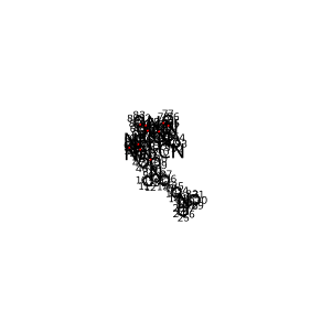 N#Cc1c(-c2ccc(-n3c4ccccc4c4cc(-c5ccc(-n6c7ccccc7c7ccccc76)cc5)ccc43)cc2)c(-n2c3ccccc3c3ncccc32)c(-n2c3ccccc3c3ncccc32)c(-c2nc(-c3ccccc3)nc(-c3ccccc3)n2)c1-n1c2ccccc2c2ncccc21